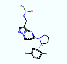 CC(C)(C)[S+]([O-])NCc1cnn2ccc(N3CCC[C@@H]3c3cc(F)ccc3F)nc12